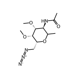 CO[C@@H]1[C@H](OC)[C@@H](NC(C)=O)C(C)O[C@@H]1CN=[N+]=[N-]